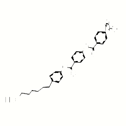 CCCCCCCc1ccc(OC(=O)c2ccc(OC(=O)c3ccc([N+](=O)[O-])cc3)cc2)cc1